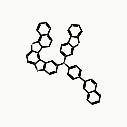 C1=c2ccccc2=C2Oc3ccc4sc5ccc(N(c6ccc(-c7ccc8ccccc8c7)cc6)c6ccc7c(c6)oc6ccccc67)cc5c4c3C2C1